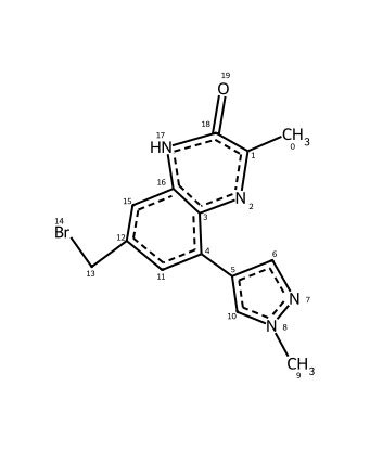 Cc1nc2c(-c3cnn(C)c3)cc(CBr)cc2[nH]c1=O